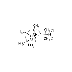 CC(C)(C)CC(C)(C)C[N+](C)(C)CCC(C)(C)N(Cl)Cl